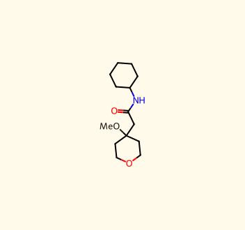 COC1(CC(=O)NC2CCCCC2)CCOCC1